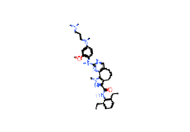 CCc1cccc(CC)c1NC(=O)c1nn(C)c2c1CCCc1cnc(Nc3ccc(N(C)CCCN(C)C)cc3OC)nc1-2